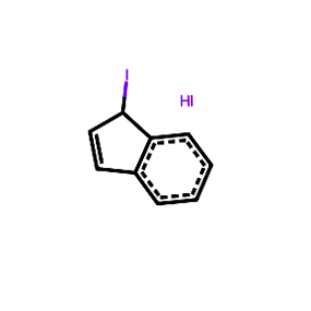 I.IC1C=Cc2ccccc21